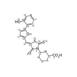 O=C(O)C1CCCC(N2C(=O)C(=Cc3ccc(-c4ccccc4O)o3)SC2=S)C1